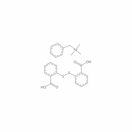 C[N+](C)(C)Cc1ccccc1.O=C(O)c1ccccc1SSc1ccccc1C(=O)O